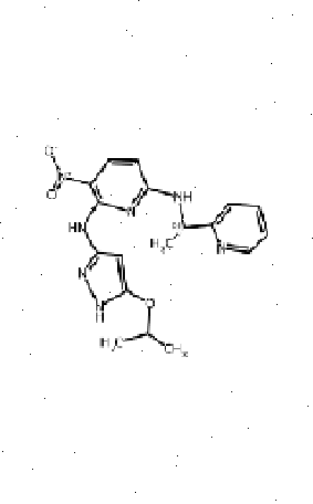 CC(C)Oc1cc(Nc2nc(N[C@@H](C)c3ccccn3)ccc2[N+](=O)[O-])n[nH]1